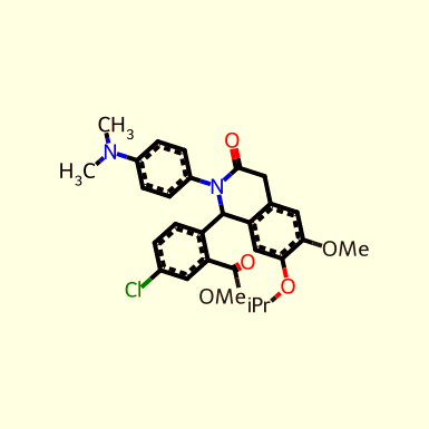 COC(=O)c1cc(Cl)ccc1C1c2cc(OC(C)C)c(OC)cc2CC(=O)N1c1ccc(N(C)C)cc1